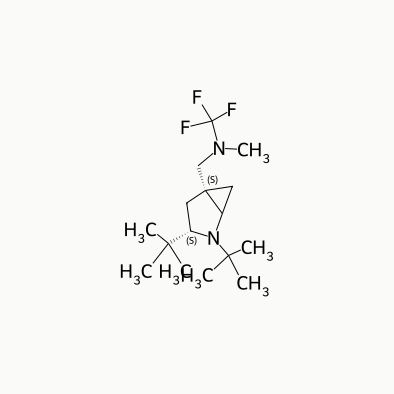 CN(C[C@]12CC1N(C(C)(C)C)[C@H](C(C)(C)C)C2)C(F)(F)F